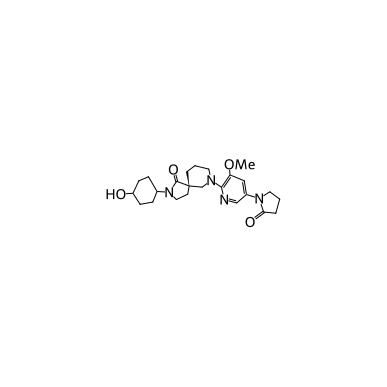 COc1cc(N2CCCC2=O)cnc1N1CCC[C@]2(CCN(C3CCC(O)CC3)C2=O)C1